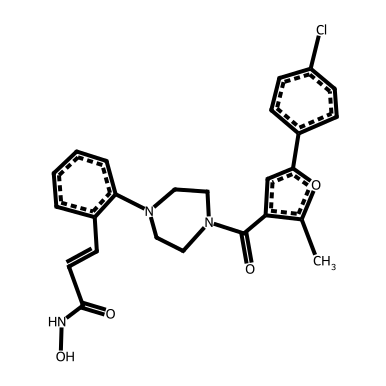 Cc1oc(-c2ccc(Cl)cc2)cc1C(=O)N1CCN(c2ccccc2/C=C/C(=O)NO)CC1